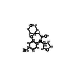 O=C1CC2(CCOCC2)Oc2cc(Br)ccc2N1[C@H]1CCOC1